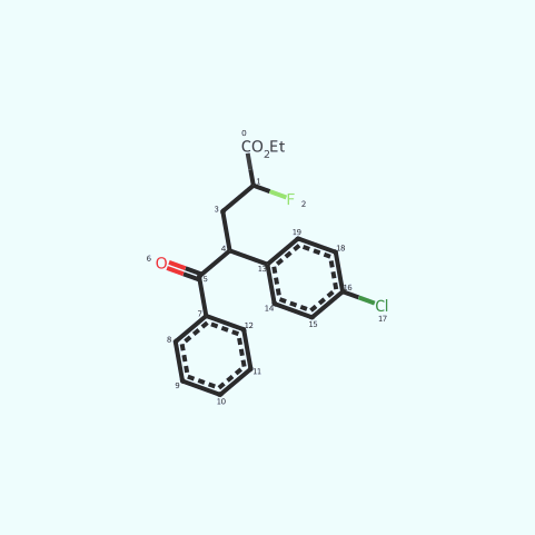 CCOC(=O)C(F)CC(C(=O)c1ccccc1)c1ccc(Cl)cc1